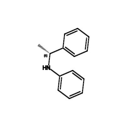 C[C@@H](Nc1ccccc1)c1ccccc1